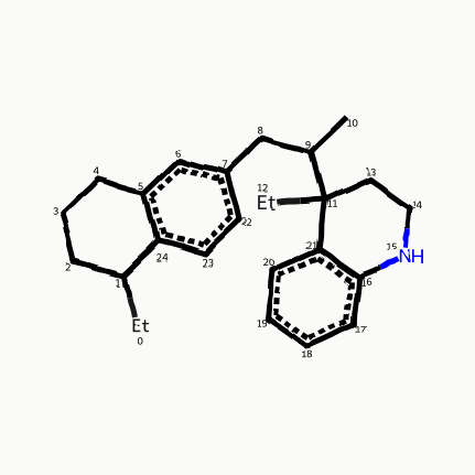 CCC1CCCc2cc(CC(C)C3(CC)CCNc4ccccc43)ccc21